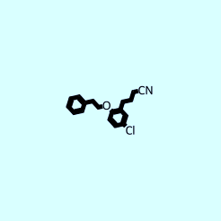 N#CCCCc1cc(Cl)ccc1OCCc1ccccc1